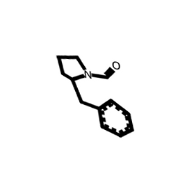 O=CN1CCCC1Cc1ccccc1